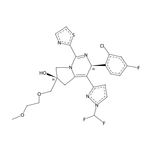 COCCOC[C@@]1(O)CC2=C(c3ccn(C(F)F)n3)[C@H](c3ccc(F)cc3Cl)N=C(c3nccs3)N2C1